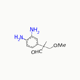 COCC(C)(C=O)c1ccc(N)c(N)c1